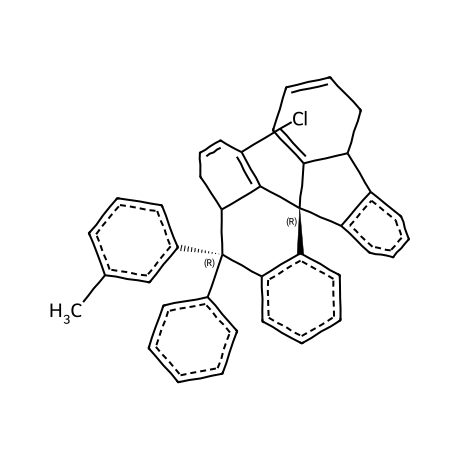 Cc1cccc([C@@]2(c3ccccc3)c3ccccc3[C@]3(C4=CC=CCC4c4ccccc43)C3=C(Cl)C=CCC32)c1